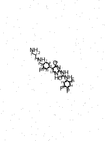 NCCCNCc1ccc(-c2c[nH]c(NC(=O)Nc3cc(F)c(F)cc3F)nc2=O)cc1F